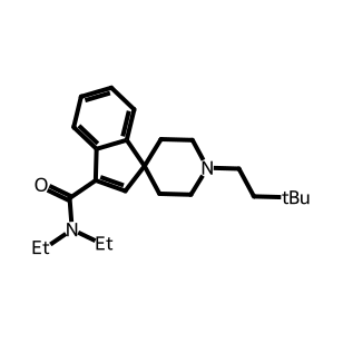 CCN(CC)C(=O)C1=CC2(CCN(CCC(C)(C)C)CC2)c2ccccc21